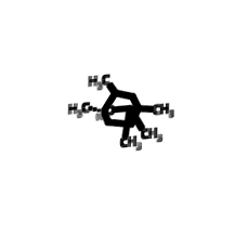 CC1CC2(C)CC[C@]1(C)OC2(C)C